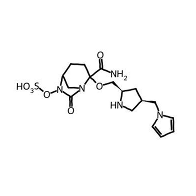 NC(=O)C1(OC[C@H]2C[C@@H](Cn3cccc3)CN2)CCC2CN1C(=O)N2OS(=O)(=O)O